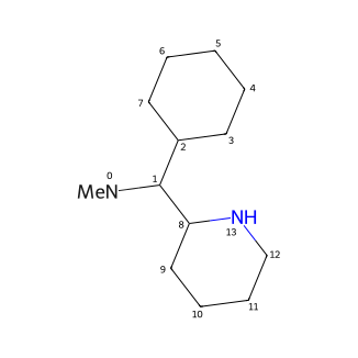 CNC(C1CCCCC1)C1CCCCN1